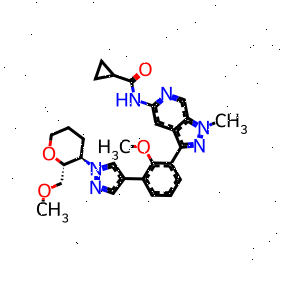 COC[C@@H]1OCCC[C@H]1n1cc(-c2cccc(-c3nn(C)c4cnc(NC(=O)C5CC5)cc34)c2OC)cn1